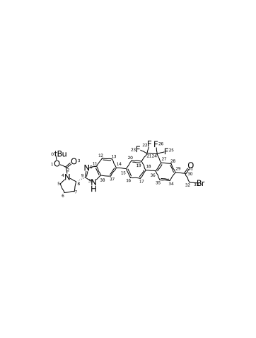 CC(C)(C)OC(=O)N1CCC[C@H]1c1nc2ccc(-c3ccc4c(c3)C(F)(F)C(F)(F)c3cc(C(=O)CBr)ccc3-4)cc2[nH]1